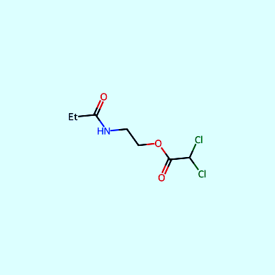 CCC(=O)NCCOC(=O)C(Cl)Cl